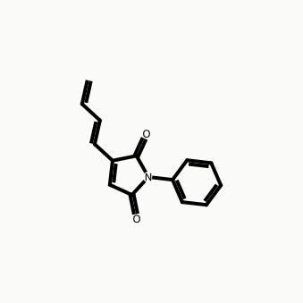 C=CC=CC1=CC(=O)N(c2ccccc2)C1=O